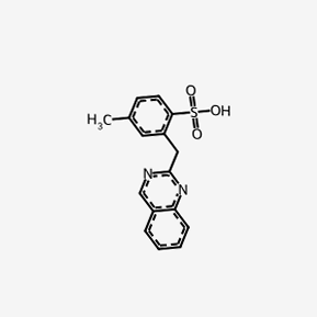 Cc1ccc(S(=O)(=O)O)c(Cc2ncc3ccccc3n2)c1